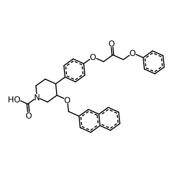 O=C(COc1ccccc1)COc1ccc(C2CCN(C(=O)O)CC2OCc2ccc3ccccc3c2)cc1